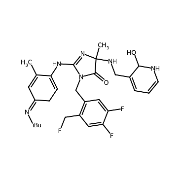 CCC(C)/N=C1/C=C(C)C(NC2=NC(C)(NCC3=CC=CNC3O)C(=O)N2Cc2cc(F)c(F)cc2CF)=CC1